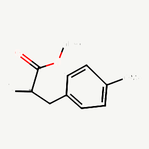 CCCCCCOC(=O)C(CC)Cc1ccc(OC)cc1